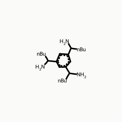 CCCCC(N)c1cc(C(N)CCCC)cc(C(N)CCCC)c1